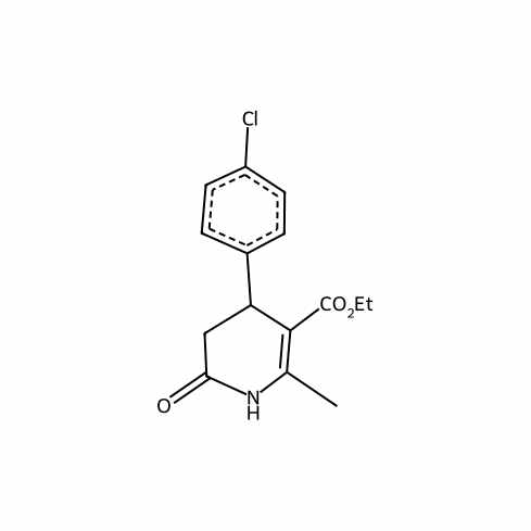 CCOC(=O)C1=C(C)NC(=O)CC1c1ccc(Cl)cc1